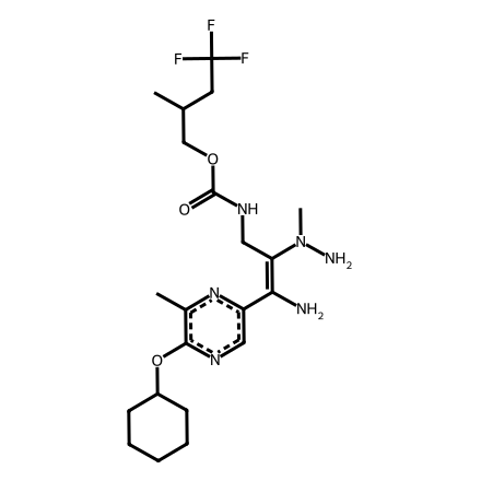 Cc1nc(/C(N)=C(\CNC(=O)OCC(C)CC(F)(F)F)N(C)N)cnc1OC1CCCCC1